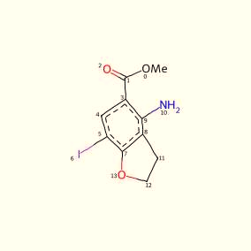 COC(=O)c1cc(I)c2c(c1N)CCO2